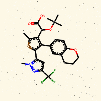 Cc1sc(-c2cc(C(F)(F)F)nn2C)c(-c2ccc3c(c2)CCCO3)c1C(OC(C)(C)C)C(=O)O